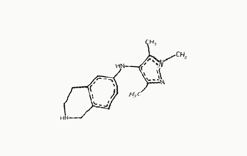 Cc1nn(C)c(C)c1Nc1ccc2c(c1)CCNC2